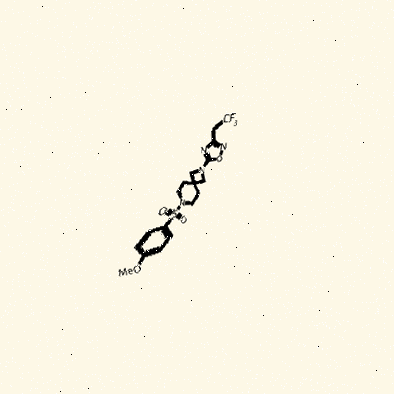 COc1ccc(S(=O)(=O)N2CCC3(CC2)CN(c2nc(CC(F)(F)F)no2)C3)cc1